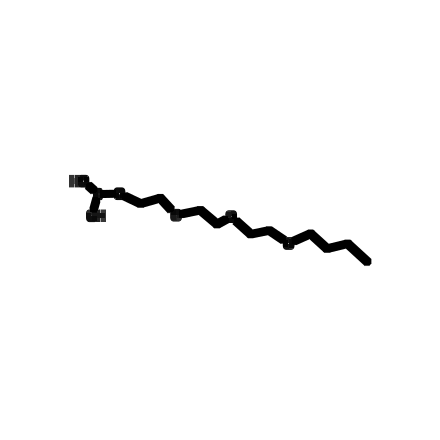 CCCCOCCOCCOCCOB(O)O